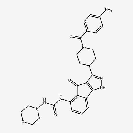 Nc1ccc(C(=O)N2CCC(c3n[nH]c4c3C(=O)c3c(NC(=O)NN5CCOCC5)cccc3-4)CC2)cc1